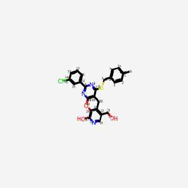 Cc1ccc(CSc2nc(-c3cccc(Cl)c3)nc3c2Cc2c(CO)cnc(O)c2O3)cc1